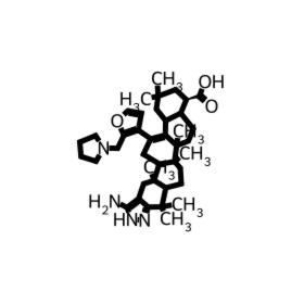 CC1(C)CC2C3=C(c4ccoc4CN4CCCC4)CC4C5(C)Cc6c(n[nH]c6N)C(C)(C)C5CCC4(C)C3(C)CCC2[C@H](C(=O)O)C1